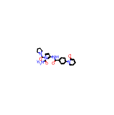 NC(=O)[N+]1(C(=O)N2CCCC2)C=[C]C(NC(=O)c2ccc(-n3ccccc3=O)cc2)=C1